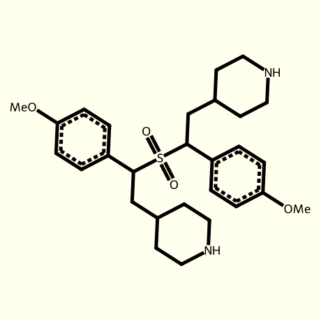 COc1ccc(C(CC2CCNCC2)S(=O)(=O)C(CC2CCNCC2)c2ccc(OC)cc2)cc1